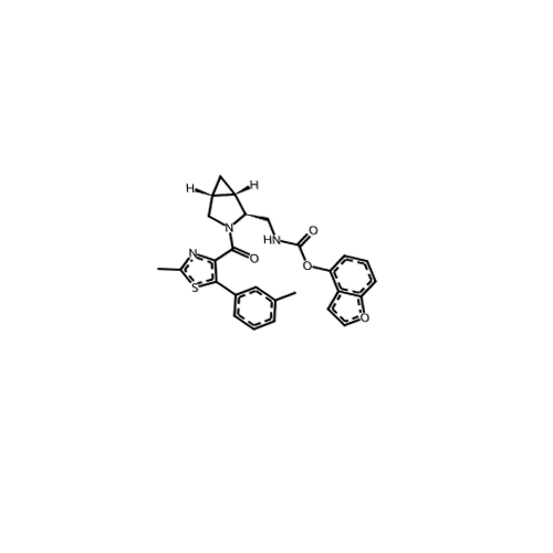 Cc1cccc(-c2sc(C)nc2C(=O)N2C[C@@H]3C[C@@H]3[C@H]2CNC(=O)Oc2cccc3occc23)c1